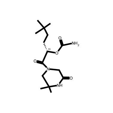 CC(C)(C)CC[C@H](OC(N)=O)C(=O)N1CC(=O)NC(C)(C)C1